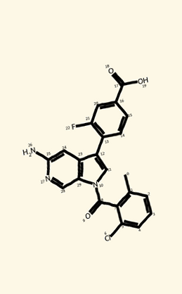 Cc1cccc(Cl)c1C(=O)n1cc(-c2ccc(C(=O)O)cc2F)c2cc(N)ncc21